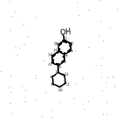 Oc1ccc2cc(C3CCCCC3)ccc2c1